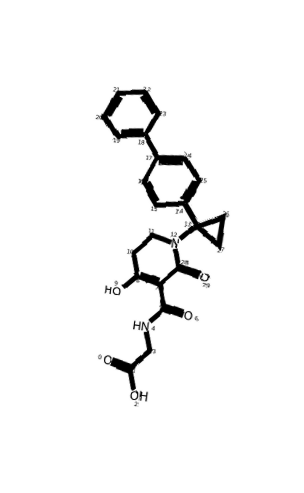 O=C(O)CNC(=O)C1=C(O)CCN(C2(c3ccc(-c4ccccc4)cc3)CC2)C1=O